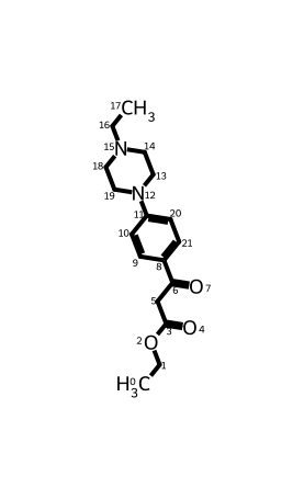 CCOC(=O)CC(=O)c1ccc(N2CCN(CC)CC2)cc1